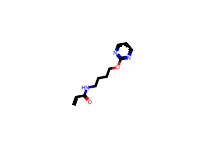 C=CC(=O)NCCCCOc1ncccn1